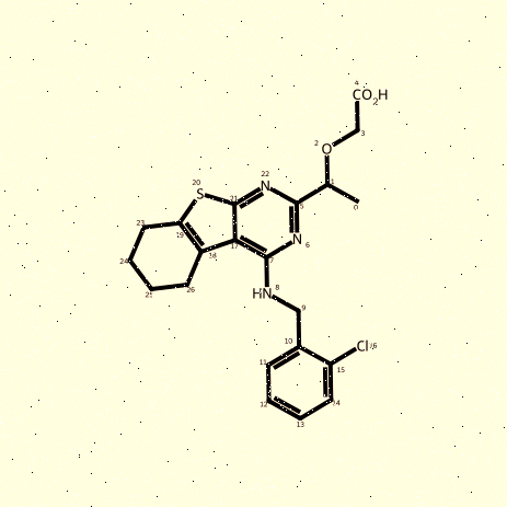 CC(OCC(=O)O)c1nc(NCc2ccccc2Cl)c2c3c(sc2n1)CCCC3